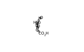 O=C(O)Cc1ccc(OC2CCN(C(=O)Oc3ccc(NC(=O)c4ccc(CN5CCOCC5)cc4)nc3)CC2)cc1